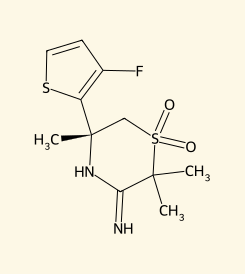 CC1(C)C(=N)N[C@](C)(c2sccc2F)CS1(=O)=O